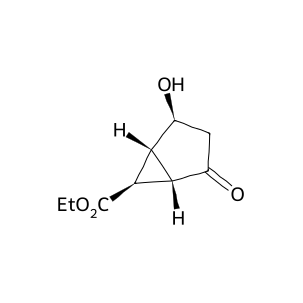 CCOC(=O)[C@@H]1[C@H]2C(=O)C[C@H](O)[C@H]21